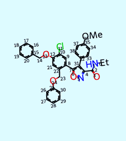 CCNC(=O)c1noc(-c2cc(Cl)c(OCc3ccccc3)cc2COc2ccccc2)c1-c1ccc(OC)cc1